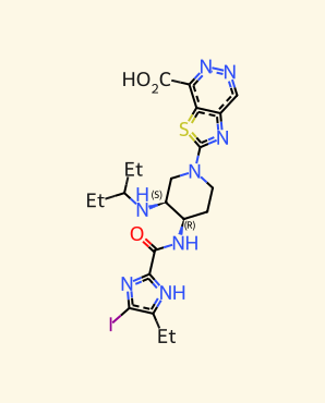 CCc1[nH]c(C(=O)N[C@@H]2CCN(c3nc4cnnc(C(=O)O)c4s3)C[C@@H]2NC(CC)CC)nc1I